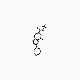 CC1CN(C(=O)OC(C)(C)C)CCc2ccc(N3CCCOCC3)nc21